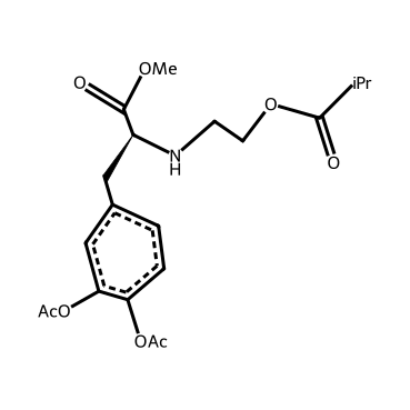 COC(=O)[C@H](Cc1ccc(OC(C)=O)c(OC(C)=O)c1)NCCOC(=O)C(C)C